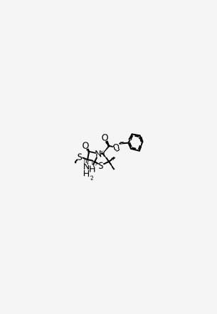 CS[C@@]1(N)C(=O)N2[C@@H](C(=O)OCc3ccccc3)C(C)(C)S[C@@H]21